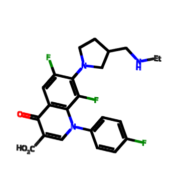 CCNCC1CCN(c2c(F)cc3c(=O)c(C(=O)O)cn(-c4ccc(F)cc4)c3c2F)C1